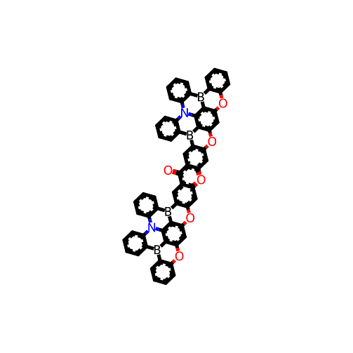 O=c1c2cc3c(cc2oc2cc4c(cc12)B1c2ccccc2N2c5ccccc5B5c6ccccc6Oc6cc(c1c2c65)O4)Oc1cc2c4c5c1B3c1ccccc1N5c1ccccc1B4c1ccccc1O2